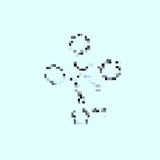 O=C=C(c1ccccc1)P(=C=O)(Cc1ccccc1)Cc1ccccc1.[CH3][Mn][C]1=CC=CC1